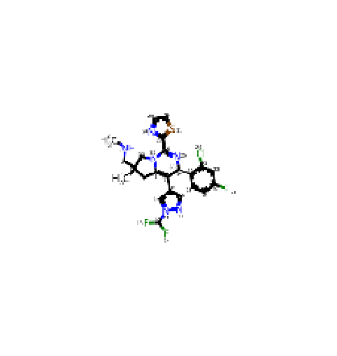 CNCC1(C)CC2=C(c3cnn(C(F)F)c3)[C@H](c3ccc(F)cc3Cl)N=C(c3nccs3)N2C1